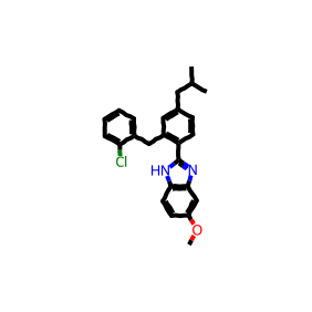 COc1ccc2[nH]c(-c3ccc(CC(C)C)cc3Cc3ccccc3Cl)nc2c1